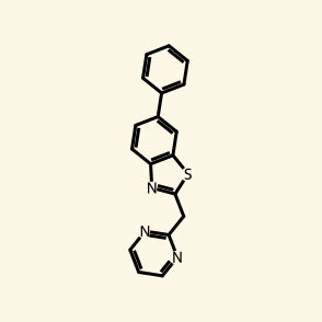 c1ccc(-c2ccc3nc(Cc4ncccn4)sc3c2)cc1